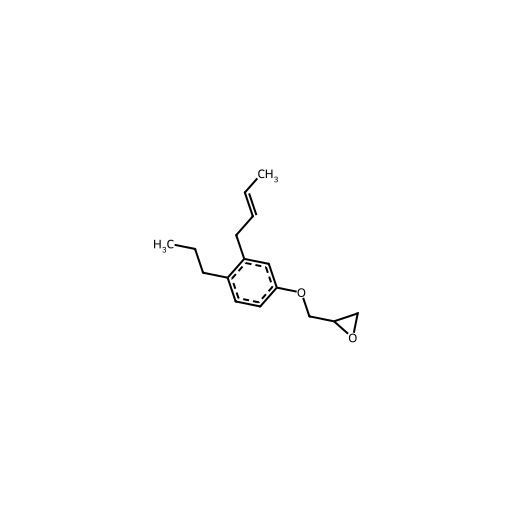 CC=CCc1cc(OCC2CO2)ccc1CCC